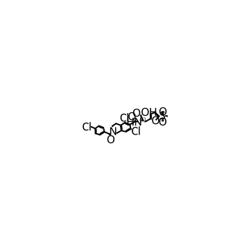 CS(=O)(=O)c1ccc(C[C@H](NC(=O)c2c(Cl)cc3c(c2Cl)CCN(C(=O)c2ccc(Cl)cc2)C3)C(=O)O)o1